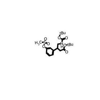 CC(C)(C)OC(=O)CC(CNC(=O)OC(C)(C)C)c1cccc(OS(C)(=O)=O)c1